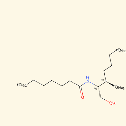 CCCCCCCCCCCCCCCC(=O)N[C@@H](CO)[C@@H](CCCCCCCCCCCCC)OC